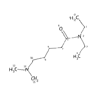 [CH2][CH]N([CH][CH2])C(=O)CCCCN(C)C